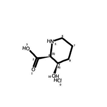 Cl.O=C(O)[C@H]1NCCC[C@H]1O